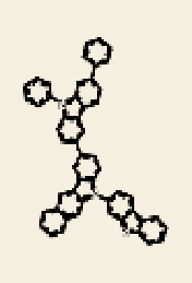 c1ccc(-c2ccc3c4cc(-c5ccc6c(c5)c5cc7ccccc7cc5n6-c5ccc6c(c5)sc5ccccc56)ccc4n(-c4ccccc4)c3c2)cc1